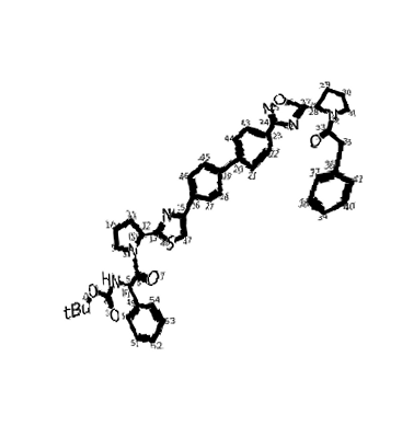 CC(C)(C)OC(=O)N[C@@H](C(=O)N1CCC[C@H]1c1nc(-c2ccc(-c3ccc(-c4noc([C@@H]5CCCN5C(=O)Cc5ccccc5)n4)cc3)cc2)cs1)c1ccccc1